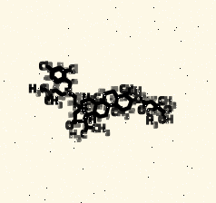 CC(C)C1=C2[C@H]3CCC4[C@@]5(C)CC[C@H](OC(=O)CC(C)(C)C(=O)O)C(C)(C)C5CC[C@@]4(C)[C@]3(C)CC[C@@]2(CCN(CCN(C)C)Cc2ccc(Cl)cc2Cl)CC1=O